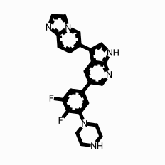 Fc1cc(-c2cnc3[nH]cc(-c4ccc5nccn5c4)c3c2)cc(N2CCNCC2)c1F